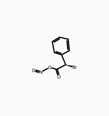 O=NOC(=O)[C@H](Br)c1ccccc1